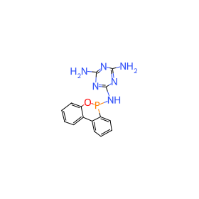 Nc1nc(N)nc(NP2Oc3ccccc3-c3ccccc32)n1